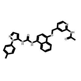 CC(=O)Nc1cc(COc2ccc(NC(=O)Nc3ccnn3-c3ccc(C)cc3)c3ccccc23)ccn1